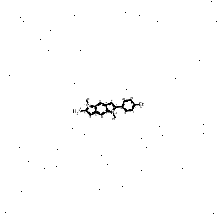 CCc1ccc(-c2cc3cc4c(cc(N)n4C)cc3n2C)cc1